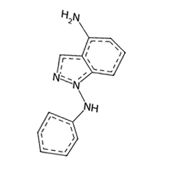 Nc1cccc2c1cnn2Nc1ccccc1